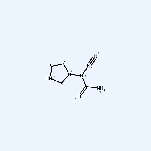 N#[N+]N(C(N)=O)N1CCNC1